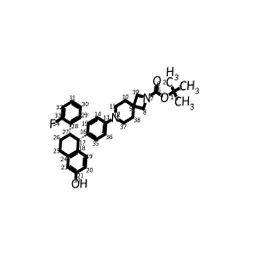 CC(C)(C)OC(=O)N1CC2(CCN(c3ccc([C@@H]4c5ccc(O)cc5CC[C@@H]4c4ccccc4F)cc3)CC2)C1